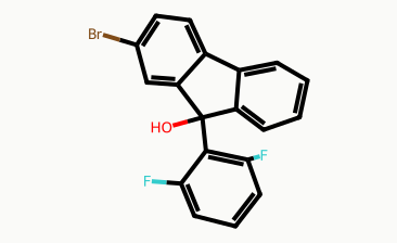 OC1(c2c(F)cccc2F)c2ccccc2-c2ccc(Br)cc21